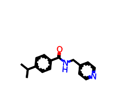 CC(C)c1ccc(C(=O)NCc2ccncc2)cc1